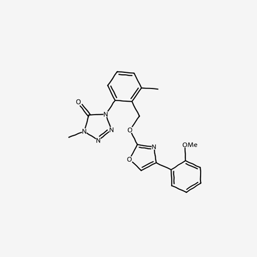 COc1ccccc1-c1coc(OCc2c(C)cccc2-n2nnn(C)c2=O)n1